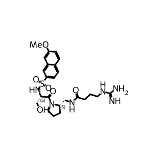 COc1ccc2ccc(S(=O)(=O)N[C@@H](CO)C(=O)N3CCC[C@H]3CNC(=O)CCCNC(=N)N)cc2c1